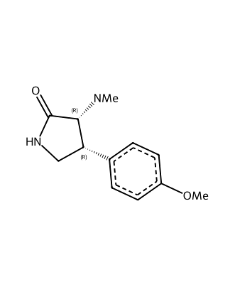 CN[C@H]1C(=O)NC[C@H]1c1ccc(OC)cc1